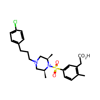 Cc1ccc(S(=O)(=O)N2[C@H](C)CN(CCCc3ccc(Cl)cc3)C[C@@H]2C)cc1CC(=O)O